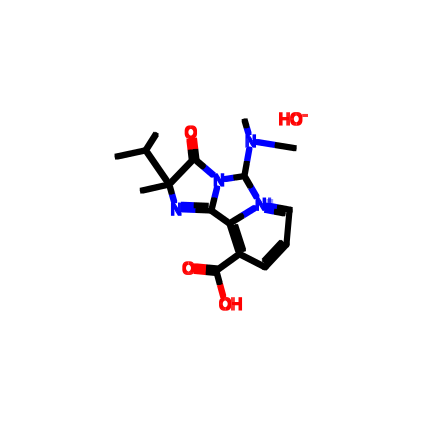 CC(C)C1(C)N=C2c3c(C(=O)O)ccc[n+]3C(N(C)C)N2C1=O.[OH-]